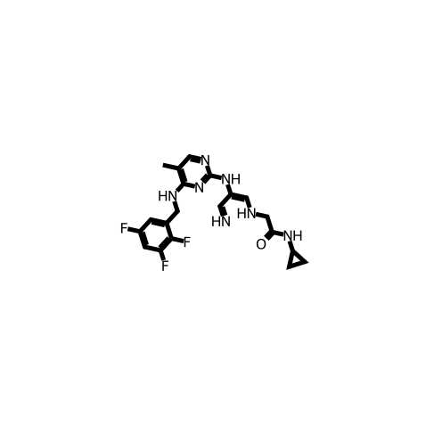 Cc1cnc(N/C(C=N)=C/NCC(=O)NC2CC2)nc1NCc1cc(F)cc(F)c1F